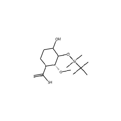 C=C(S)C1CCC(O)C(O[Si](C)(C)C(C)(C)C)[C@@H]1OC